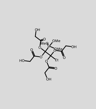 CCC(OC(=O)CO)(OC(=O)CO)C(OC(=O)CO)(OC(=O)CO)[Si](OC)(OC)OC